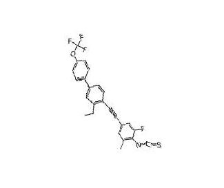 CCc1cc(-c2ccc(OC(F)(F)F)cc2)ccc1C#Cc1cc(C)c(N=C=S)c(F)c1